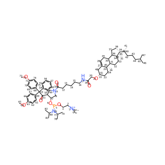 [C-]#[N+]CCOP(OC1CN(C(=O)CCCCCNC(=O)CO[C@H]2CC[C@@]3(C)C(=CCC4C3CC[C@@]3(C)C4CC[C@@H]3[C@H](C)CCCC(C)C)C2)CC1C(=O)C(c1ccccc1)(c1ccc(OC)cc1)c1ccc(OC)cc1)N(C(C)C)C(C)C